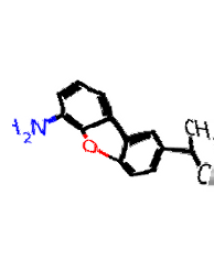 CC(C)c1ccc2oc3c(N)cccc3c2c1